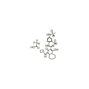 CS(=O)(=O)Nc1ccc2c(c1)S(=O)(=O)N=C(C1=C(O)C3CCCCCC3N(NC3CCC3)C1=O)N2.O=C(O)C(F)(F)F